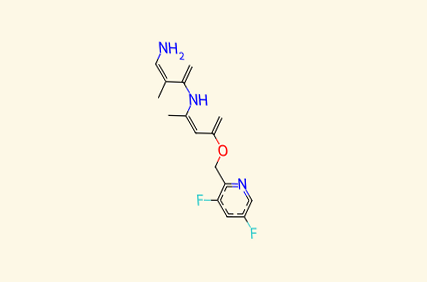 C=C(/C=C(/C)NC(=C)/C(C)=C\N)OCc1ncc(F)cc1F